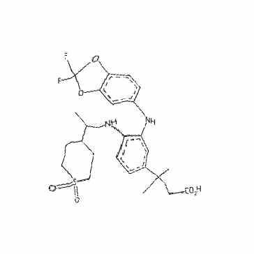 CC(Nc1ccc(C(C)(C)CC(=O)O)cc1Nc1ccc2c(c1)OC(F)(F)O2)C1CCS(=O)(=O)CC1